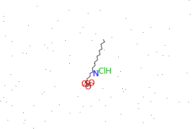 CCCCCCCCCCCC(CCC[Si](OC)(OC)OC)N(C)C.Cl